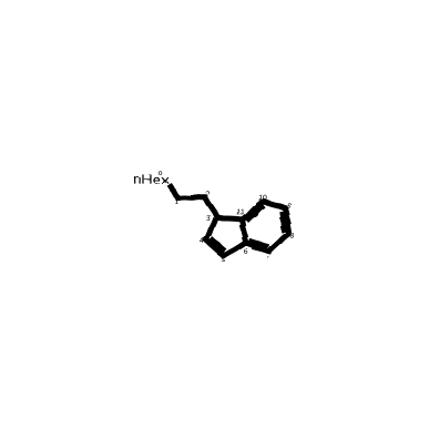 CCCCCCCCC1C=Cc2ccccc21